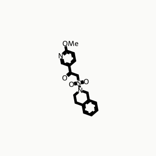 COc1ccc(C(=O)CS(=O)(=O)N2CCc3ccccc3C2)cn1